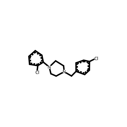 Clc1ccc(CN2CCN(c3ccccc3Cl)CC2)cc1